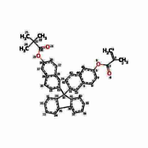 C=C(C)C(=O)Oc1ccc2cc(C3(c4ccc5cc(OC(=O)C(C)(C)C)ccc5c4)c4ccccc4-c4ccccc43)ccc2c1